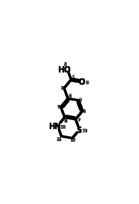 O=C(O)Cc1ccc2c(c1)NCCS2